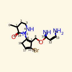 CC1CCNN(C2=C(COC(=N)/C=C\N)C(Br)=CC2)C1=O